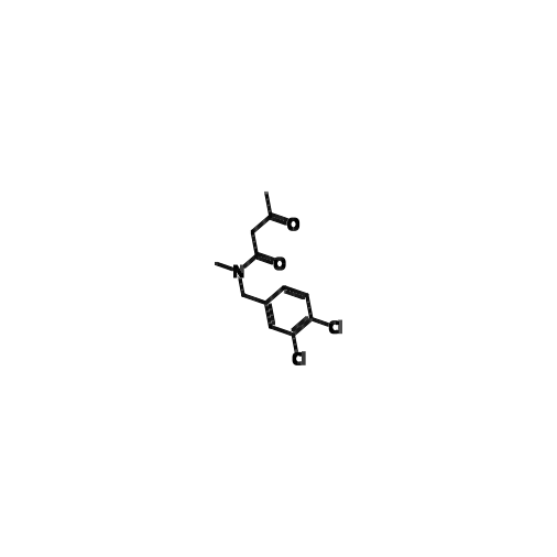 CC(=O)CC(=O)N(C)Cc1ccc(Cl)c(Cl)c1